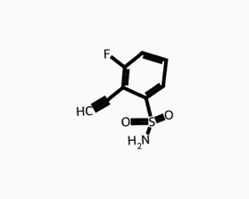 C#Cc1c(F)cccc1S(N)(=O)=O